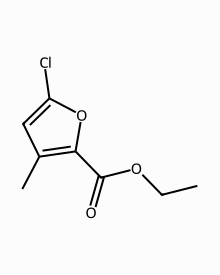 CCOC(=O)c1oc(Cl)cc1C